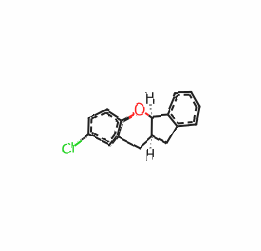 Clc1ccc2c(c1)C[C@@H]1Cc3ccccc3[C@@H]1O2